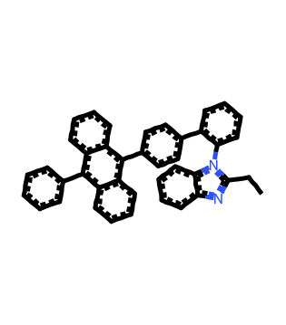 CCc1nc2ccccc2n1-c1ccccc1-c1ccc(-c2c3ccccc3c(-c3ccccc3)c3ccccc23)cc1